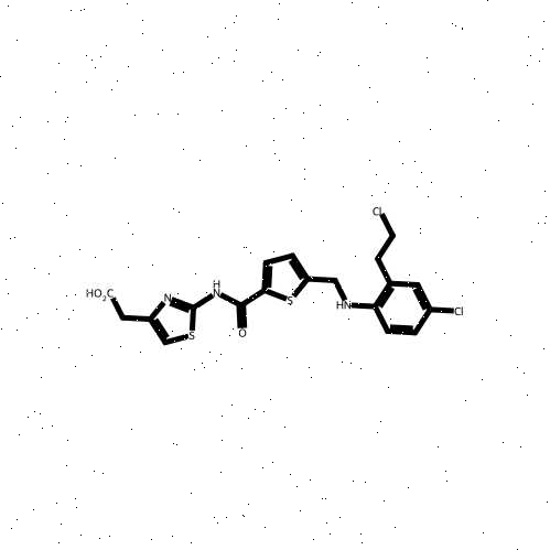 O=C(O)Cc1csc(NC(=O)c2ccc(CNc3ccc(Cl)cc3CCCl)s2)n1